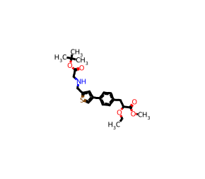 CCOC(Cc1ccc(-c2csc(CNCC(=O)OC(C)(C)C)c2)cc1)C(=O)OC